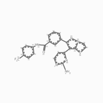 Nc1nccc(-c2c(-c3cccc(C(=O)Nc4ccc(C(F)(F)F)cc4)c3)nn3ccsc23)n1